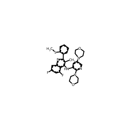 CSc1ccccc1-c1nc2cc(F)cc(F)c2c(Nc2cc(N3CCOCC3)cnc2N2CCOCC2)c1C